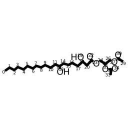 CCCCCCCCCCCCC(O)CCCCC(O)CC(=O)OCC(COC(C)=O)OC(C)=O